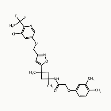 Cc1ccc(OCC(=O)NC2(C)CC(C)(c3nc(COc4cnc(C(F)(F)P)c(Cl)c4)no3)C2)cc1C